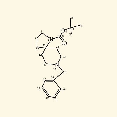 CC(C)(C)OC(=O)N1CCCC12CCN(Cc1ccccc1)CC2